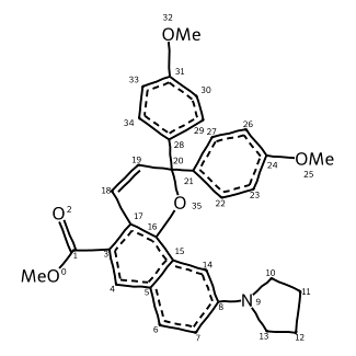 COC(=O)c1cc2ccc(N3CCCC3)cc2c2c1C=CC(c1ccc(OC)cc1)(c1ccc(OC)cc1)O2